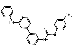 Cc1ccc(NC(=O)Nc2cc(-c3ccnc(Nc4ccccc4)c3)ccn2)cc1